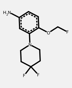 Nc1ccc(OCF)c(N2CCC(F)(F)CC2)c1